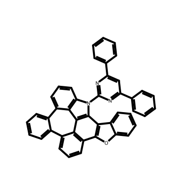 c1ccc(-c2cc(-c3ccccc3)nc(-n3c4cccc5c4c4c6c(cccc6c6oc7ccccc7c6c43)-c3ccccc3-5)n2)cc1